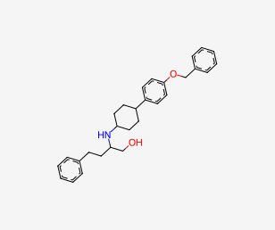 OCC(CCc1ccccc1)NC1CCC(c2ccc(OCc3ccccc3)cc2)CC1